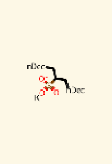 CCCCCCCCCCCC(CCCCCCCCCCC)S(=O)(=O)[O-].[K+]